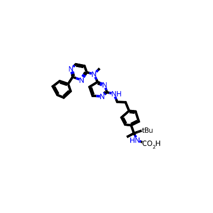 CN(c1ccnc(NCCc2ccc(C(C)(NC(=O)O)C(C)(C)C)cc2)n1)c1ccnc(-c2ccccc2)n1